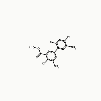 COC(=O)c1nc(-c2cc(N)c(Cl)cc2F)cc(N)c1Cl